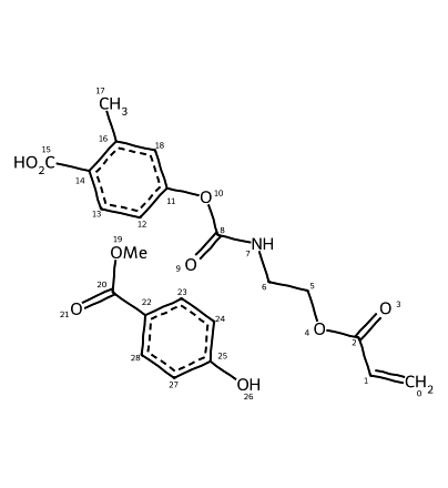 C=CC(=O)OCCNC(=O)Oc1ccc(C(=O)O)c(C)c1.COC(=O)c1ccc(O)cc1